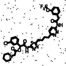 O=C(Cc1cccc(OC(F)(F)F)c1)Nc1ccc(CCCCc2nnc(NC(=O)C(OC(=O)CN3CCCCC3)c3cccc(Cl)c3)s2)nn1